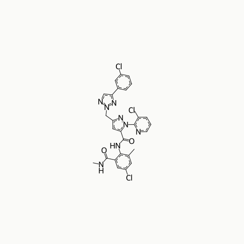 CNC(=O)c1cc(Cl)cc(C)c1NC(=O)c1cc(Cn2ncc(-c3cccc(Cl)c3)n2)nn1-c1ncccc1Cl